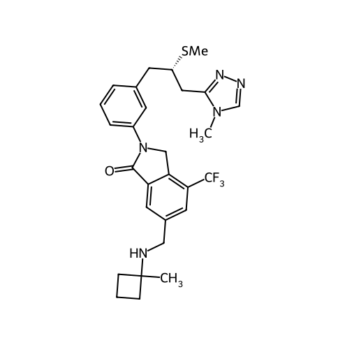 CS[C@@H](Cc1cccc(N2Cc3c(cc(CNC4(C)CCC4)cc3C(F)(F)F)C2=O)c1)Cc1nncn1C